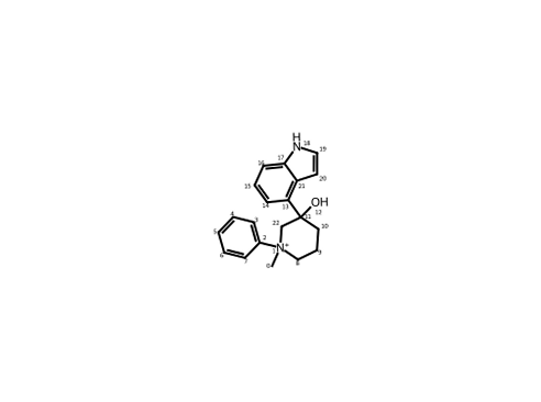 C[N+]1(c2ccccc2)CCCC(O)(c2cccc3[nH]ccc23)C1